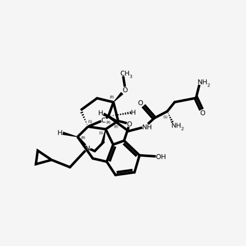 CO[C@]12CC[C@@]3(C[C@@H]1CNC(=O)[C@@H](N)CC(N)=O)[C@H]1Cc4ccc(O)c5c4[C@@]3(CCN1CC1CC1)[C@H]2O5